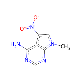 Cn1cc([N+](=O)[O-])c2c(N)ncnc21